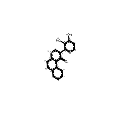 O=c1c(-c2nccc(O)c2O)coc2ccc3ccccc3c12